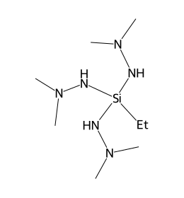 CC[Si](NN(C)C)(NN(C)C)NN(C)C